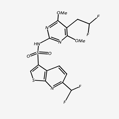 COc1nc(NS(=O)(=O)c2csc3nc(C(F)F)ccc23)nc(OC)c1CC(F)F